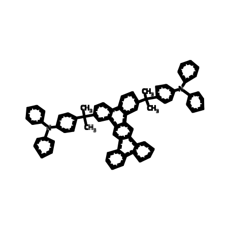 CC(C)(c1ccc(N(c2ccccc2)c2ccccc2)cc1)c1ccc2c3ccc(C(C)(C)c4ccc(N(c5ccccc5)c5ccccc5)cc4)cc3c3cc4c5ccccc5c5ccccc5c4cc3c2c1